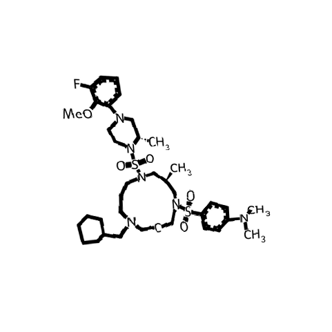 COc1c(F)cccc1N1CCN(S(=O)(=O)N2CCCN(CC3CCCCC3)CCCN(S(=O)(=O)c3ccc(N(C)C)cc3)C[C@H](C)C2)[C@@H](C)C1